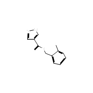 O=C(NCc1ccccc1Cl)c1cn[nH]c1